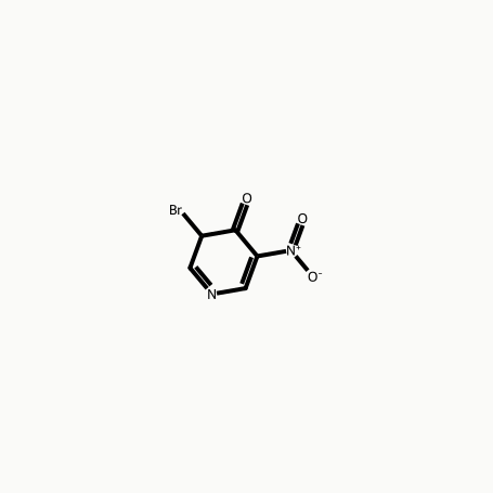 O=C1C([N+](=O)[O-])=CN=CC1Br